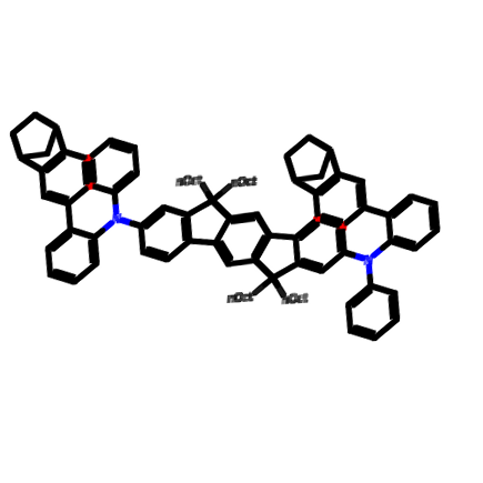 CCCCCCCCC1(CCCCCCCC)c2cc(N(c3ccccc3)c3ccccc3-c3ccc4c(c3)C3CCC4C3)ccc2-c2cc3c(cc21)-c1ccc(N(c2ccccc2)c2ccccc2-c2ccc4c(c2)C2CCC4C2)cc1C3(CCCCCCCC)CCCCCCCC